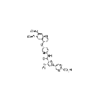 CCOc1cn(-c2cnc(C(=O)O)nc2)nc1C(=O)Nc1ccc(Oc2ccnc3cc(OC)c(OC)cc23)cn1